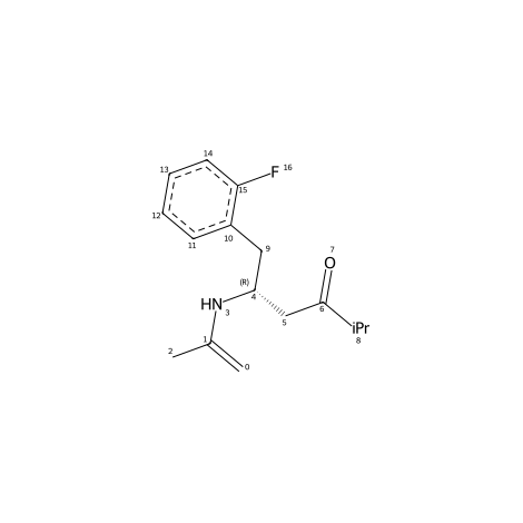 C=C(C)N[C@@H](CC(=O)C(C)C)Cc1ccccc1F